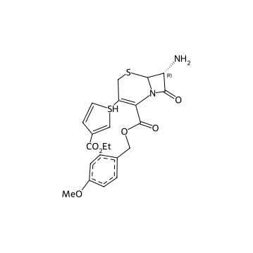 CCOC(=O)C1=C[SH](C2=C(C(=O)OCc3ccc(OC)cc3)N3C(=O)[C@@H](N)C3SC2)C=C1